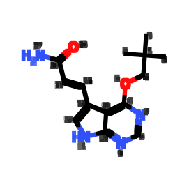 CC(C)(C)COc1ncnc2[nH]cc(/C=C/C(N)=O)c12